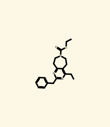 CCOC(=O)N1CCc2nc(Cc3ccccc3)nc(CC)c2CC1